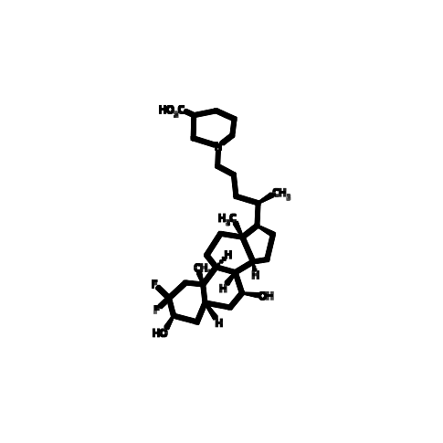 C[C@H](CCCN1CCCC(C(=O)O)C1)[C@H]1CC[C@H]2[C@@H]3[C@@H](O)C[C@@H]4C[C@@H](O)C(F)(F)C[C@]4(C)[C@H]3CC[C@]12C